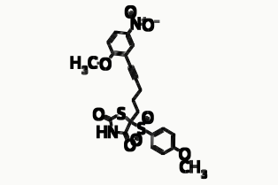 COc1ccc(S(=O)(=O)C2(CCCC#Cc3cc([N+](=O)[O-])ccc3OC)SC(=O)NC2=O)cc1